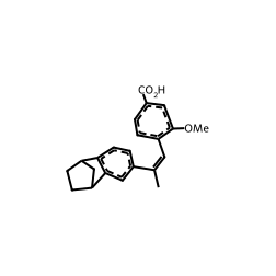 COc1cc(C(=O)O)ccc1/C=C(/C)c1ccc2c(c1)C1CCC2C1